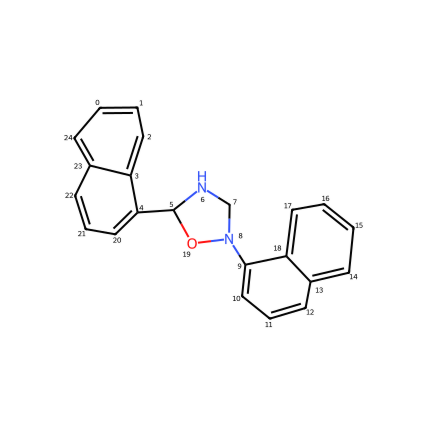 c1ccc2c(C3NCN(c4cccc5ccccc45)O3)cccc2c1